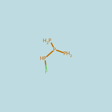 FPP(P)P